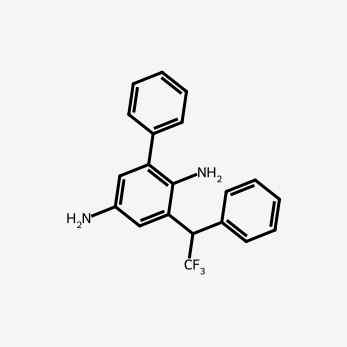 Nc1cc(-c2ccccc2)c(N)c(C(c2ccccc2)C(F)(F)F)c1